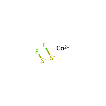 F[S-].F[S-].[Co+2]